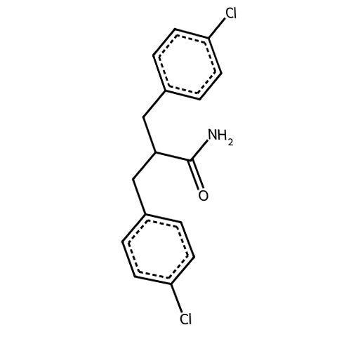 NC(=O)C(Cc1ccc(Cl)cc1)Cc1ccc(Cl)cc1